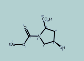 CC(C)(C)OC(=O)N1C[C@H](S)CC1C(=O)O